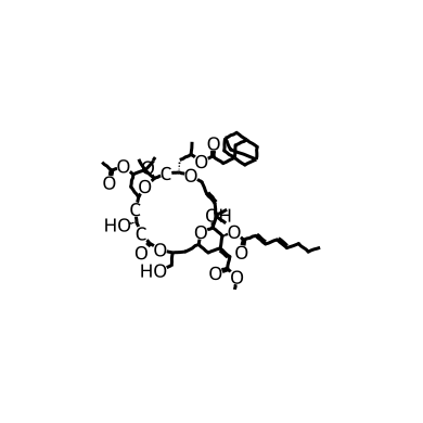 CCC/C=C/C=C/C(=O)O[C@H]1/C(=C/C(=O)OC)CC2CC(CO)OC(=O)C[C@H](O)CC3CC(OC(C)=O)C(C)(C)[C@](OC)(C[C@H](CC(C)OC(=O)CC45CC6CC(CC(C6)C4)C5)OC/C=C/C(C)(C)C1(O)O2)O3